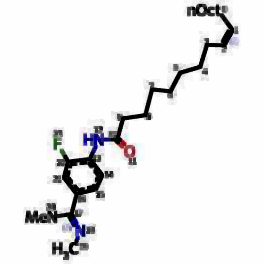 CCCCCCCC/C=C\CCCCCCCC(=O)Nc1ccc(/C(=N/C)NC)cc1F